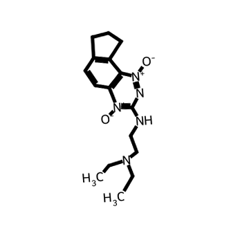 CCN(CC)CCNc1n[n+]([O-])c2c3c(ccc2[n+]1[O-])CCC3